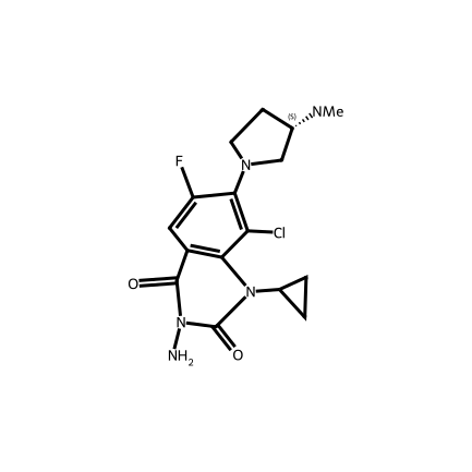 CN[C@H]1CCN(c2c(F)cc3c(=O)n(N)c(=O)n(C4CC4)c3c2Cl)C1